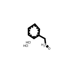 Cl.Cl.O=[PH2]Cc1ccccc1